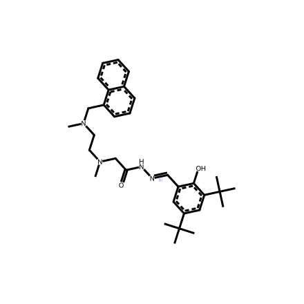 CN(CCN(C)Cc1cccc2ccccc12)CC(=O)N/N=C/c1cc(C(C)(C)C)cc(C(C)(C)C)c1O